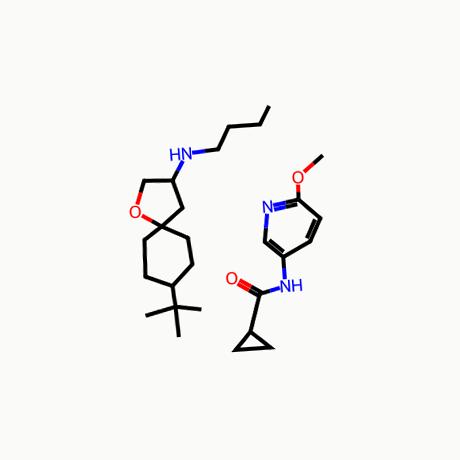 CCCCNC1COC2(CCC(C(C)(C)C)CC2)C1.COc1ccc(NC(=O)C2CC2)cn1